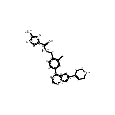 Cc1cc(-c2ncnn3cc(C4=CCOCC4)cc23)ccc1CNC(=O)c1cnc(C(C)(C)C)o1